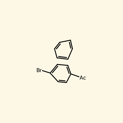 CC(=O)c1ccc(Br)cc1.c1ccccc1